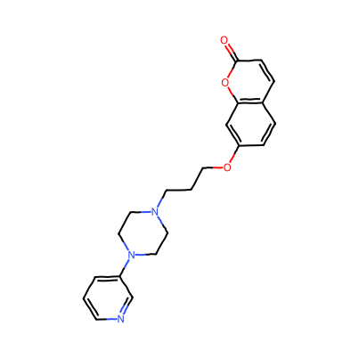 O=c1ccc2ccc(OCCCN3CCN(c4cccnc4)CC3)cc2o1